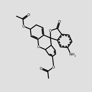 CC(=O)OC1=CC2OC3=CC(OC(C)=O)CC=C3C3(OC(=O)c4ccc(N)cc43)C2C=C1